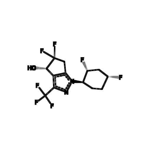 O[C@H]1c2c(C(F)(F)F)nn([C@@H]3CC[C@@H](F)C[C@H]3F)c2CC1(F)F